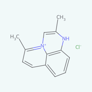 CC1=C[n+]2c(C)ccc3cccc(c32)N1.[Cl-]